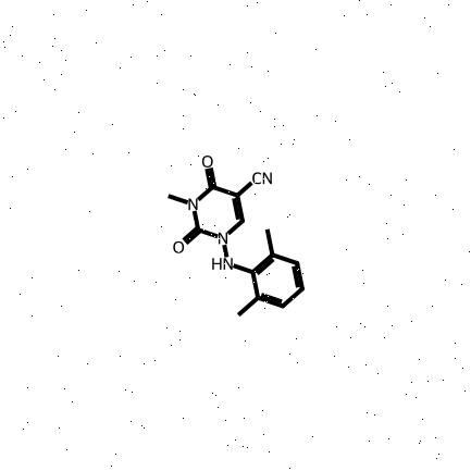 Cc1cccc(C)c1Nn1cc(C#N)c(=O)n(C)c1=O